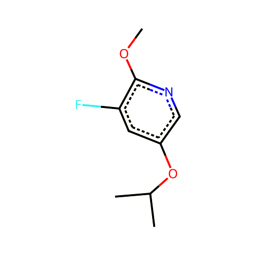 COc1ncc(OC(C)C)cc1F